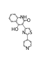 O=c1[nH]c2ccccc2c(O)c1-c1csc(-c2ccncc2)n1